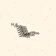 B.CCCCCCCCCC.CCCCCCCCCC.CCCCCCCCCC.CCCCCCCCCC.CCCCCCCCCC.CCCCCCCCCC.CCCCCCCCCC.CCCCCCCCCC